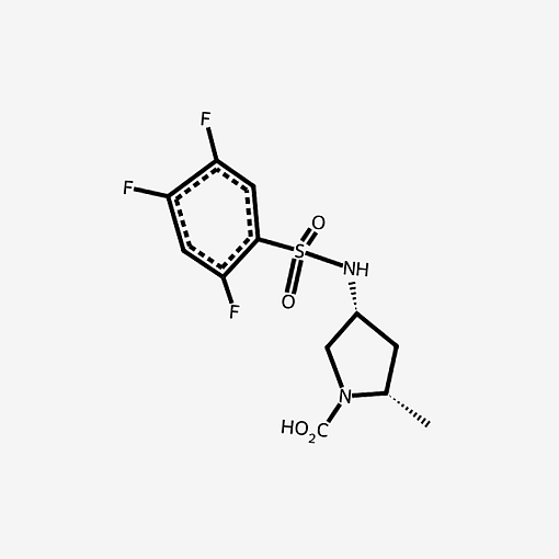 C[C@H]1C[C@@H](NS(=O)(=O)c2cc(F)c(F)cc2F)CN1C(=O)O